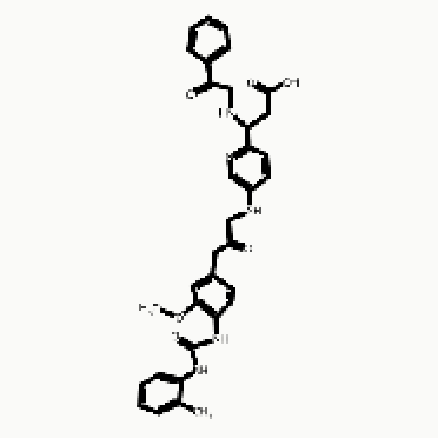 COc1cc(CC(=O)CNc2ccc(C(CC(=O)O)NCC(=O)c3ccccc3)nc2)ccc1NC(=O)Nc1ccccc1C